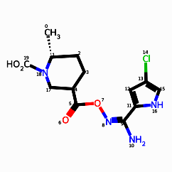 C[C@@H]1CCC(C(=O)O/N=C(/N)c2cc(Cl)c[nH]2)CN1C(=O)O